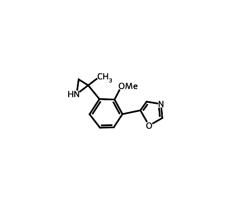 COc1c(-c2cnco2)cccc1C1(C)CN1